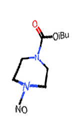 CC(C)COC(=O)N1CCN(N=O)CC1